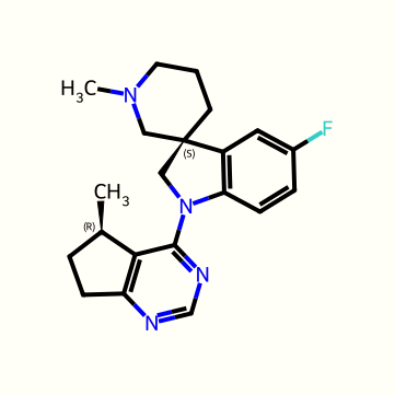 C[C@@H]1CCc2ncnc(N3C[C@@]4(CCCN(C)C4)c4cc(F)ccc43)c21